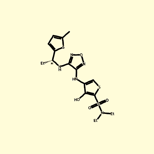 CC[C@@H](Nc1nonc1Nc1csc(S(=O)(=O)N(CC)CC)c1O)c1ccc(C)s1